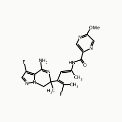 COc1cnc(C(=O)N/C(C)=C/C(=C(\C)F)C2(C)Cn3ncc(F)c3C(N)=N2)cn1